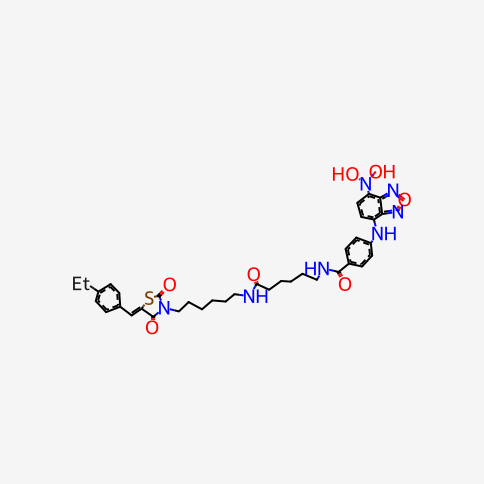 CCc1ccc(/C=C2\SC(=O)N(CCCCCCNC(=O)CCCCCNC(=O)c3ccc(Nc4ccc(N(O)O)c5nonc45)cc3)C2=O)cc1